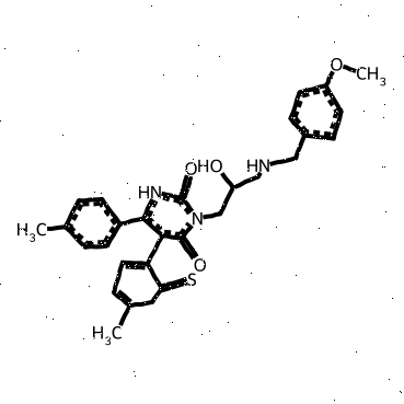 COc1ccc(CNCC(O)Cn2c(=O)[nH]c(-c3ccc(C)cc3)c(C3=CC=C(C)CC3=S)c2=O)cc1